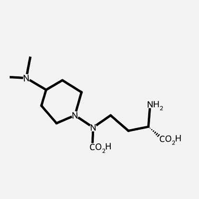 CN(C)C1CCN(N(CC[C@H](N)C(=O)O)C(=O)O)CC1